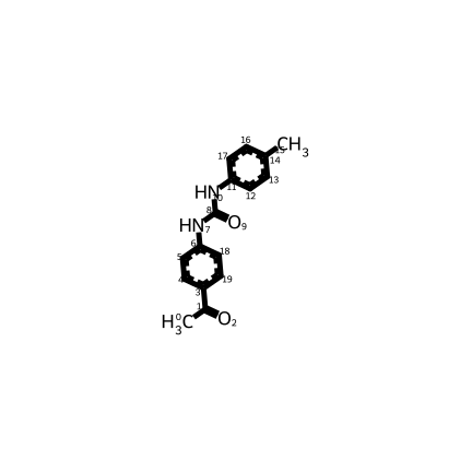 CC(=O)c1ccc(NC(=O)Nc2ccc(C)cc2)cc1